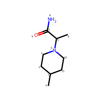 [CH2]C1CCN(C(C)C(N)=O)CC1